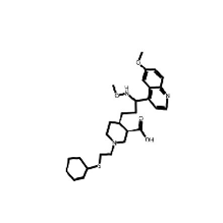 CONC(CC[C@@H]1CCN(CCSC2CCCCC2)C[C@@H]1C(=O)O)c1ccnc2ccc(OC)cc12